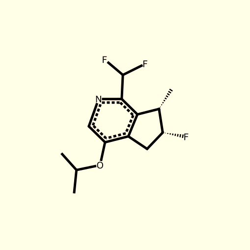 CC(C)Oc1cnc(C(F)F)c2c1C[C@@H](F)[C@H]2C